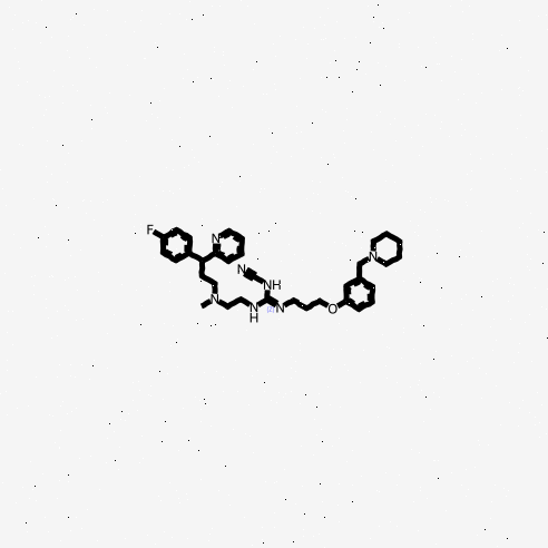 CN(CCN/C(=N/CCCOc1cccc(CN2CCCCC2)c1)NC#N)CCC(c1ccc(F)cc1)c1ccccn1